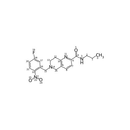 CCCNC(=O)c1ccc2c(n1)CCN(Cc1cc(F)ccc1[N+](=O)[O-])C2